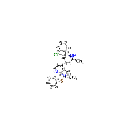 C=C1C=C(c2ccnc3c2cc(C)n3Sc2ccccc2)C=C(c2ccccc2Cl)N1